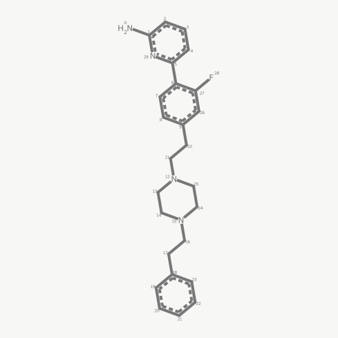 Nc1cccc(-c2ccc(CCN3CCN(CCc4ccccc4)CC3)cc2F)n1